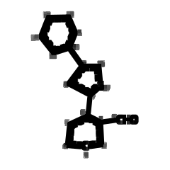 O=Cc1ccccc1-c1cc(-c2ccccc2)cs1